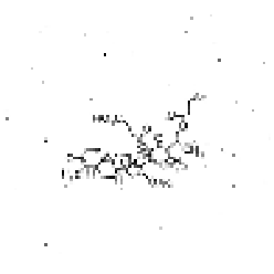 C=C(C(=O)[C@H](OC(=O)CCC(=O)O)[C@@H](C)[C@H]1[C@@H](OC(C)=O)C[C@@]2(C)[C@@H]3CC[C@H]4[C@H](C)C(=O)C=C[C@@]45C[C@@]35CC[C@]12C)[C@@H](C)COC(=O)CCC(C)=O